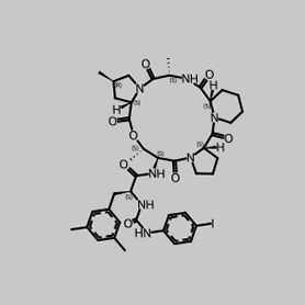 Cc1cc(C)cc(C[C@H](NC(=O)Nc2ccc(I)cc2)C(=O)N[C@@H]2C(=O)N3CCC[C@H]3C(=O)N3CCCC[C@H]3C(=O)N[C@@H](C)C(=O)N3C[C@H](C)C[C@H]3C(=O)O[C@H]2C)c1